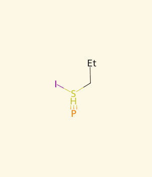 CCC[SH](#P)I